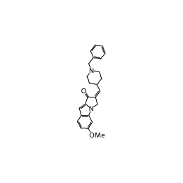 COc1ccc2cc3n(c2c1)C/C(=C/C1CCN(Cc2ccccc2)CC1)C3=O